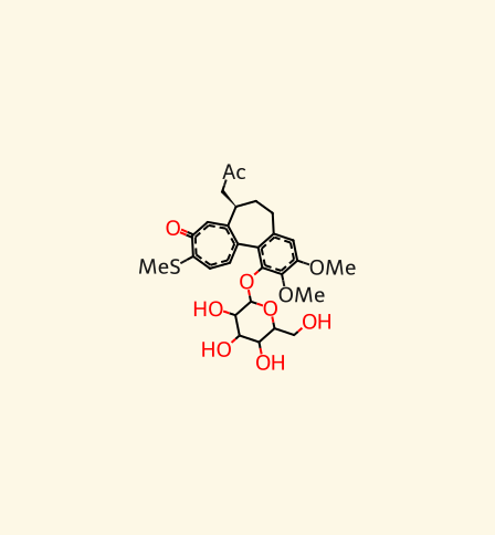 COc1cc2c(c(OC3OC(CO)C(O)C(O)C3O)c1OC)-c1ccc(SC)c(=O)cc1[C@@H](CC(C)=O)CC2